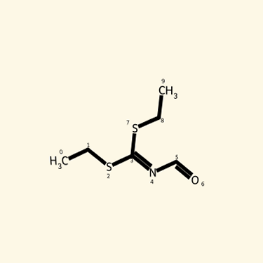 CCSC(=NC=O)SCC